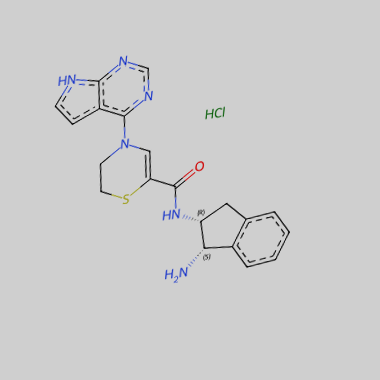 Cl.N[C@H]1c2ccccc2C[C@H]1NC(=O)C1=CN(c2ncnc3[nH]ccc23)CCS1